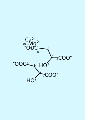 O=C([O-])CC(O)C(=O)[O-].O=C([O-])CC(O)C(=O)[O-].[Ca+2].[Mg+2]